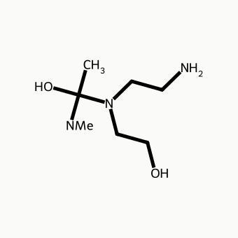 CNC(C)(O)N(CCN)CCO